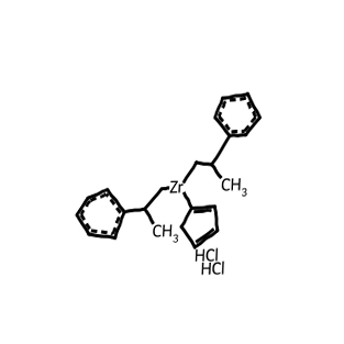 CC([CH2][Zr]([CH2]C(C)c1ccccc1)[C]1=CC=CC1)c1ccccc1.Cl.Cl